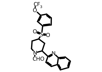 O=CN1CCC(S(=O)(=O)c2cccc(OC(F)(F)F)c2)CC1c1ccc2ccccc2n1